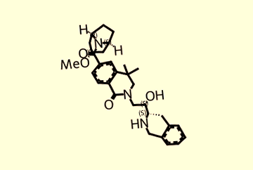 CO[C@@H]1C[C@H]2CC[C@@H](C1)N2C(=O)c1ccc2c(c1)C(C)(C)CN(C[C@H](O)[C@@H]1Cc3ccccc3CN1)C2=O